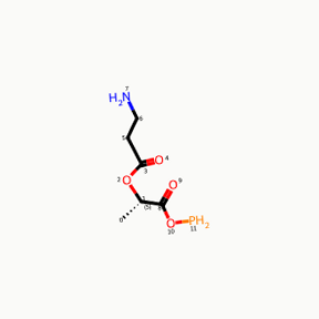 C[C@H](OC(=O)CCN)C(=O)OP